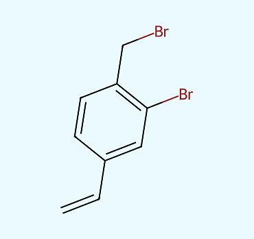 C=Cc1ccc(CBr)c(Br)c1